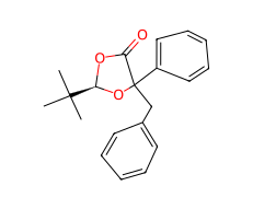 CC(C)(C)[C@H]1OC(=O)C(Cc2ccccc2)(c2ccccc2)O1